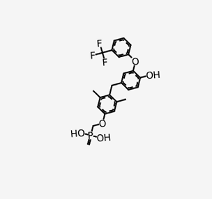 C=P(O)(O)COc1cc(C)c(Cc2ccc(O)c(Oc3cccc(C(F)(F)F)c3)c2)c(C)c1